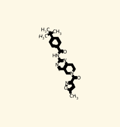 Cc1cc(C(=O)N2CCc3nc(NC(=O)c4ccc(C(C)(C)C)cc4)ncc3C2)no1